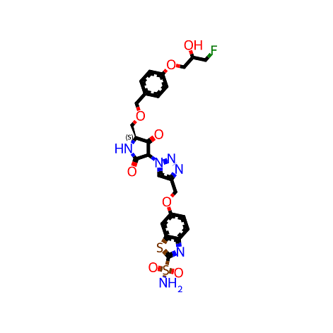 NS(=O)(=O)c1nc2ccc(OCc3cn(C4C(=O)N[C@@H](COCc5ccc(OCC(O)CF)cc5)C4=O)nn3)cc2s1